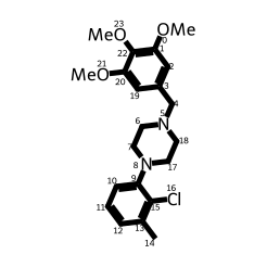 COc1cc(CN2CCN(c3cccc(C)c3Cl)CC2)cc(OC)c1OC